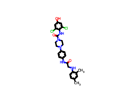 Cc1ccc(NCC(=O)Nc2ccc(N3CCN(C(=O)Nc4c(Cl)cc(O)cc4Cl)CC3)cc2)c(C)c1